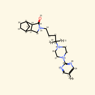 [2H]c1cnc(N2CCN(C([2H])([2H])CCCN3CC4C5CCC(C5)C4C3=O)CC2)nc1